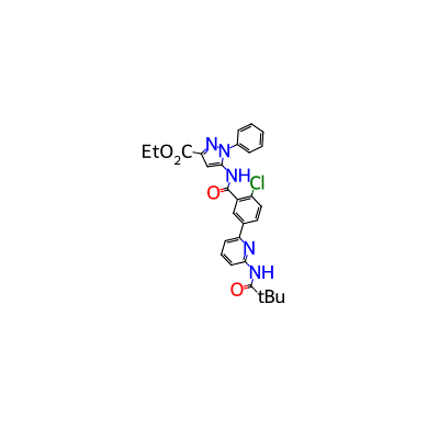 CCOC(=O)c1cc(NC(=O)c2cc(-c3cccc(NC(=O)C(C)(C)C)n3)ccc2Cl)n(-c2ccccc2)n1